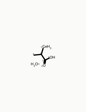 C[CH]([GeH3])C(=O)O.O